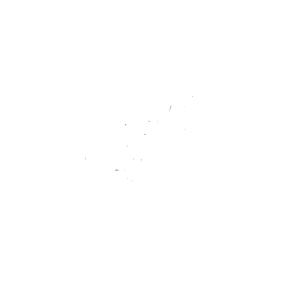 CCC(=O)N[C@@H](CC(=O)O)C(=O)N[C@@H](C)C(=O)N[C@@H](CC(=O)O)C(=O)O